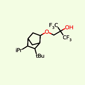 CC(C)C1C2CC(OCC(O)(C(F)(F)F)C(F)(F)F)C(C2)C1C(C)(C)C